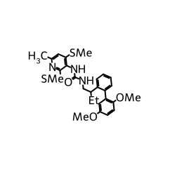 CCC(CNC(=O)Nc1c(SC)cc(C)nc1SC)c1ccccc1-c1cc(OC)ccc1OC